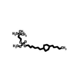 CCCCCC1CCC(CCCCCCOP(=O)(OC)OCC[N+](C)(C)C)CC1